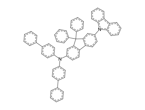 c1ccc(-c2ccc(N(c3ccc(-c4ccccc4)cc3)c3ccc4c(c3)C(c3ccccc3)(c3ccccc3)c3cc(-n5c6ccccc6c6ccccc65)ccc3-4)cc2)cc1